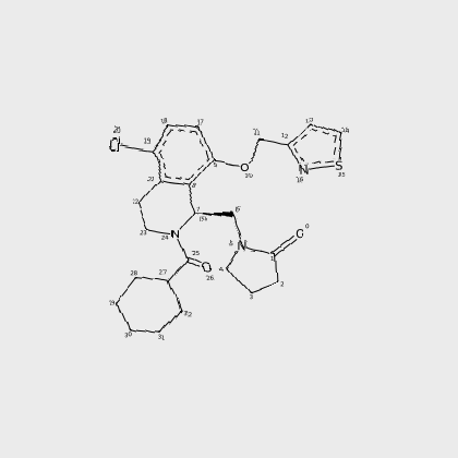 O=C1CCCN1C[C@@H]1c2c(OCc3ccsn3)ccc(Cl)c2CCN1C(=O)C1CCCCC1